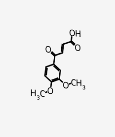 COc1ccc(C(=O)C=CC(=O)O)cc1OC